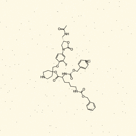 CC(=O)NC[C@H]1CN(c2ccc(OCC3(OC(=O)C(CCCCNC(=O)OCc4ccccc4)NC(=O)OCc4ccccc4)CCNCC3)c(F)c2)C(=O)O1.Cl